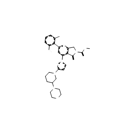 CC(C)(C)OC(=O)N1Cc2nc(-c3c(F)cccc3C#N)cc(-n3ccc(N4CC[C@@H](O)C(N5CCOCC5)C4)n3)c2C1=O